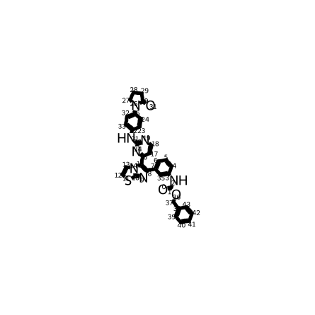 O=C(Nc1cccc(-c2nc3sccn3c2-c2ccnc(Nc3ccc(N4CCCC4=O)cc3)n2)c1)OCc1ccccc1